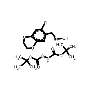 CC(C)(C)OC(=O)NOC(=O)OC(C)(C)C.ONCc1cc2c(cc1Cl)OCCO2